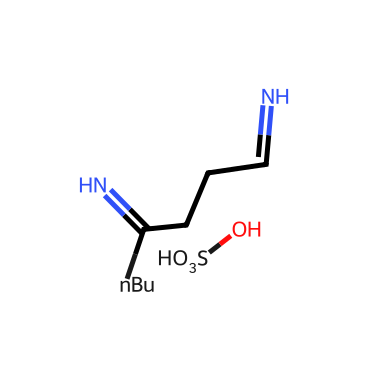 CCCCC(=N)CCC=N.O=S(=O)(O)O